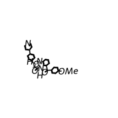 COc1ccc(C(=O)c2cccc(N)c2NC(=O)OCc2ccc(-c3ccncc3)cc2)cc1